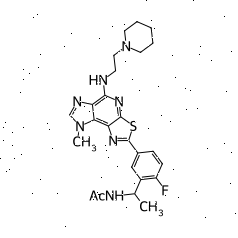 CC(=O)NC(C)c1cc(-c2nc3c(nc(NCCN4CCCCC4)c4ncn(C)c43)s2)ccc1F